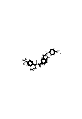 CCS(=O)(=O)c1ccc([C@H](CO)NC(=O)c2ccc3c(c2)CN(C[C@H]2CC[C@H](C(F)(F)F)CC2)C3)cc1